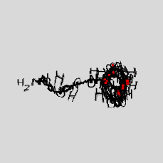 Nc1ccnc(OCc2ccc(CNC(=O)c3ccc(CNC(=O)CCCCCCC(=O)NCCCCC4CN5CCNC(=O)c6cccc(c6O)C(=O)NCCN(CCNC(=O)c6cccc(c6O)C(=O)N4)CCN4CCNC(=O)c6cccc(c6O)C(=O)NCCN(CCNC(=O)c6cccc(c6O)C(=O)NCC4)CC5)cc3)cc2)n1